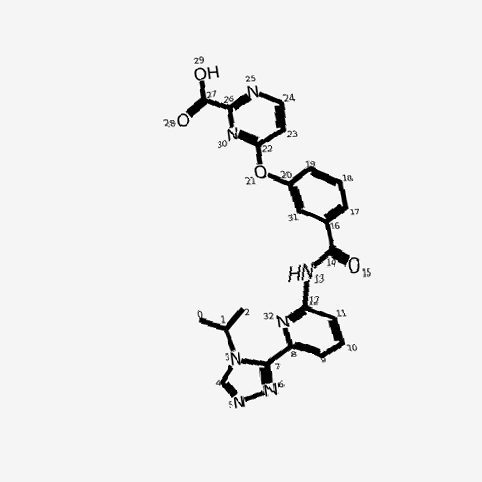 CC(C)n1cnnc1-c1cccc(NC(=O)c2cccc(Oc3ccnc(C(=O)O)n3)c2)n1